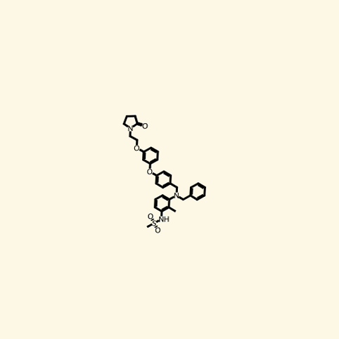 Cc1c(NS(C)(=O)=O)cccc1N(Cc1ccccc1)Cc1ccc(Oc2cccc(OCCN3CCCC3=O)c2)cc1